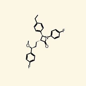 CCc1ccc([C@@H]2[C@@H](CC[C@H](OC)c3ccc(F)cc3)C(=O)N2c2ccc(F)cc2)cc1